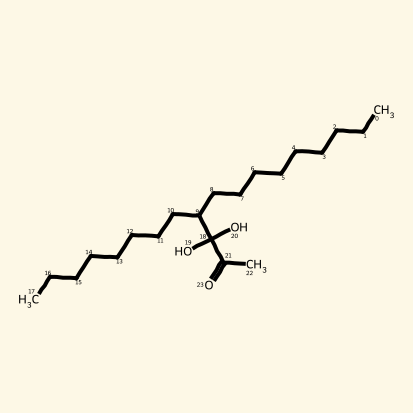 CCCCCCCCCC(CCCCCCCC)C(O)(O)C(C)=O